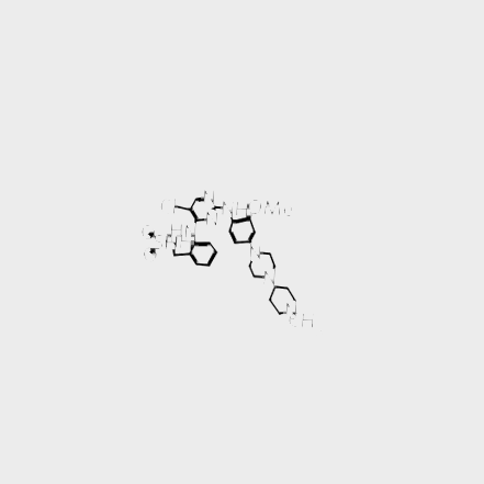 COc1cc(N2CCN(C3CCN(C)CC3)CC2)ccc1Nc1ncc(Cl)c(Nc2ccccc2CN[SH](=O)=O)n1